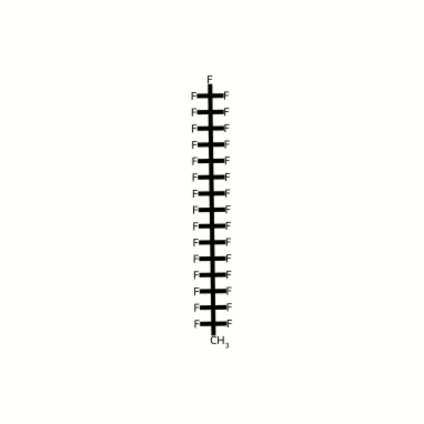 CC(F)(F)C(F)(F)C(F)(F)C(F)(F)C(F)(F)C(F)(F)C(F)(F)C(F)(F)C(F)(F)C(F)(F)C(F)(F)C(F)(F)C(F)(F)C(F)(F)C(F)(F)F